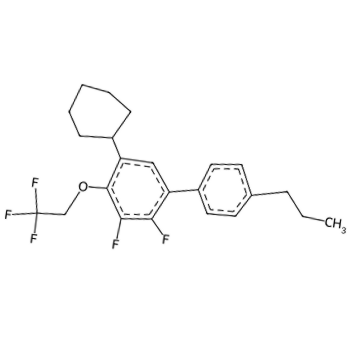 CCCc1ccc(-c2cc(C3CCCCC3)c(OCC(F)(F)F)c(F)c2F)cc1